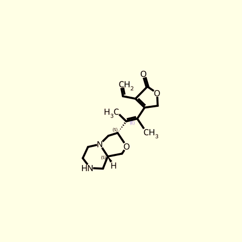 C=CC1=C(/C(C)=C(\C)[C@H]2CN3CCNC[C@H]3CO2)COC1=O